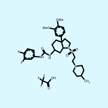 COc1ccc(C23CCC(NC(=O)Nc4ccc(F)c(F)c4)CC2N(S(=O)(=O)CCN2CCC(C)CC2)CC3)cc1OC.O=C(O)C(F)(F)F